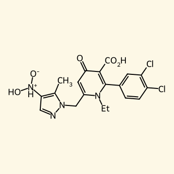 CCn1c(Cn2ncc([NH+]([O-])O)c2C)cc(=O)c(C(=O)O)c1-c1ccc(Cl)c(Cl)c1